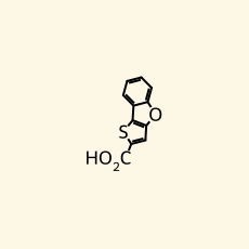 O=C(O)c1cc2oc3ccccc3c2s1